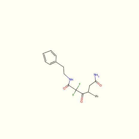 CC(C)C(CC(N)=O)C(=O)C(F)(F)C(=O)NCCc1ccccc1